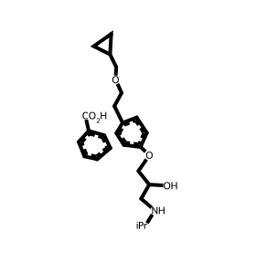 CC(C)NCC(O)COc1ccc(CCOCC2CC2)cc1.O=C(O)c1ccccc1